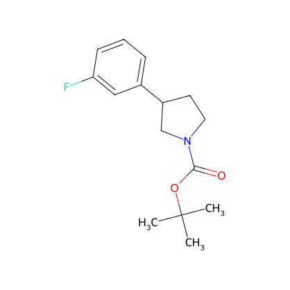 CC(C)(C)OC(=O)N1CCC(c2cccc(F)c2)C1